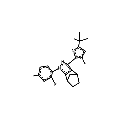 Cn1cc(C(C)(C)C)nc1-c1nn(-c2ccc(F)cc2F)c2c1C1CCC2C1